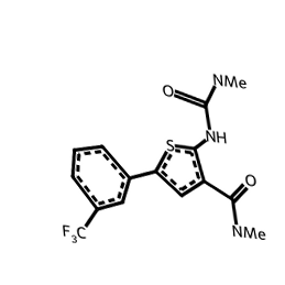 CNC(=O)Nc1sc(-c2cccc(C(F)(F)F)c2)cc1C(=O)NC